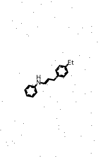 CCc1ccc(C/C=C/Nc2ccccc2)cc1